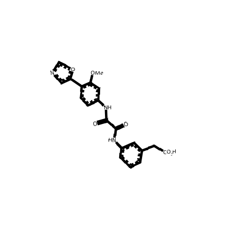 COc1cc(NC(=O)C(=O)Nc2cccc(CC(=O)O)c2)ccc1-c1cnco1